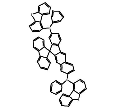 c1ccc(N(c2ccc3c(c2)C2(c4ccccc4-c4ccccc42)c2cc4cc(N(c5ccccc5)c5cccc6sc7ccccc7c56)ccc4cc2-3)c2cccc3sc4ccccc4c23)cc1